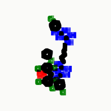 C1CCCCC1.N=C(NCCCCCCNC(=N)NC(=N)Nc1ccc(Cl)cc1)NC(=N)Nc1ccc(Cl)cc1.Oc1c(Cl)cc(Cl)c(Cl)c1Cc1c(O)c(Cl)cc(Cl)c1Cl